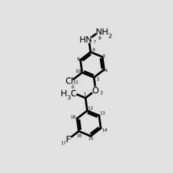 CC(Oc1ccc(NN)cc1Cl)c1cccc(F)c1